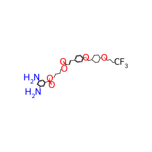 Nc1cc(N)cc(C(=O)OCCCCOC(=O)C=Cc2ccc(OCC3CCC(OCCCC(F)(F)F)CC3)cc2)c1